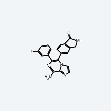 Nc1nc(-c2cccc(F)c2)c(-c2ccc3c(c2)CNC3=O)n2ccnc12